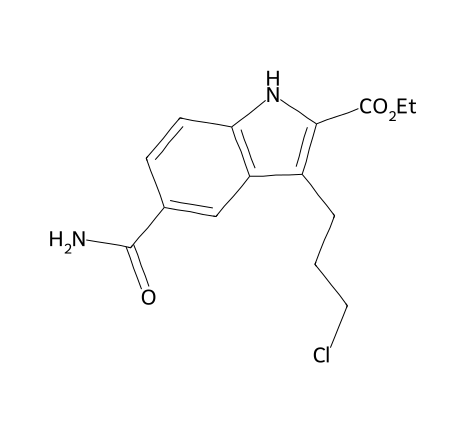 CCOC(=O)c1[nH]c2ccc(C(N)=O)cc2c1CCCCl